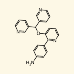 Nc1ccc(-c2ncccc2OC(c2cccnc2)c2cccnc2)cc1